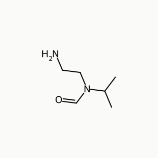 CC(C)N(C=O)CCN